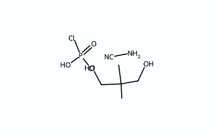 CC(C)(CO)CO.N#CN.O=P(O)(Cl)Cl